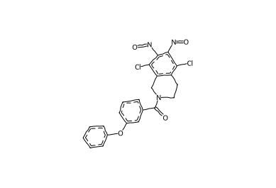 O=Nc1c(Cl)c2c(c(Cl)c1N=O)CN(C(=O)c1cccc(Oc3ccccc3)c1)CC2